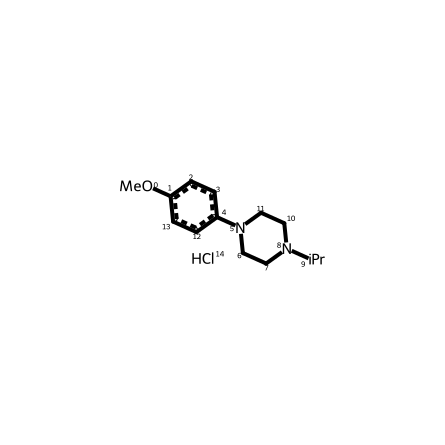 COc1ccc(N2CCN(C(C)C)CC2)cc1.Cl